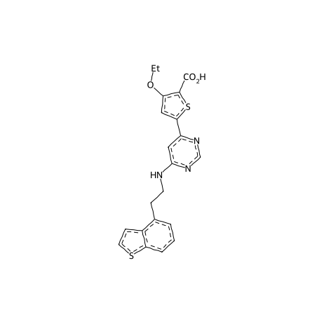 CCOc1cc(-c2cc(NCCc3cccc4sccc34)ncn2)sc1C(=O)O